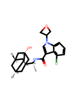 C[C@@H](NC(=O)c1cn(C2COC2)c2cccc(Cl)c12)[C@@]12C[C@@H]3C[C@@H](C[C@@](O)(C3)C1)C2